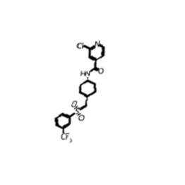 O=C(N[C@H]1CC[C@H](CS(=O)(=O)c2cccc(C(F)(F)F)c2)CC1)c1ccnc(Cl)c1